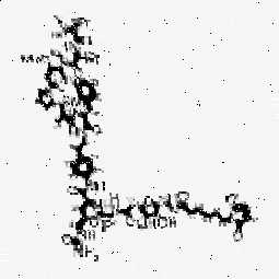 CCC(C)C([C@@H](CC(=O)N1CCC[C@H]1C(OC)C(C)C(=O)N[C@@H](Cc1ccccc1)C(=O)NCCc1ccc(NC(=O)C(CCCNC(N)=O)NC(=O)[C@H](NC(=O)C[C@@H]2O[C@H](CNC(=O)CCCCCN3C(=O)C=CC3=O)C(O)C2O)C(C)C)cc1)OC)N(C)C(=O)[C@@H](NC(=O)C(C(C)C)N(C)C)C(C)C